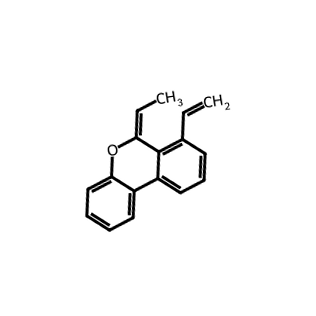 C=Cc1cccc2c1/C(=C\C)Oc1ccccc1-2